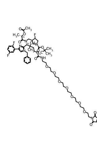 CC(=O)O[C@@H](C)C(=O)N(CC1CN(C(=O)OC(C)(C)C)CC1F)[C@@H](c1nc(-c2cc(F)ccc2F)cn1Cc1ccccc1)C(C)(C)CCOC(=O)NCCOCCOCCOCCOCCOCCOCCOCCN1C(=O)C=CC1=O